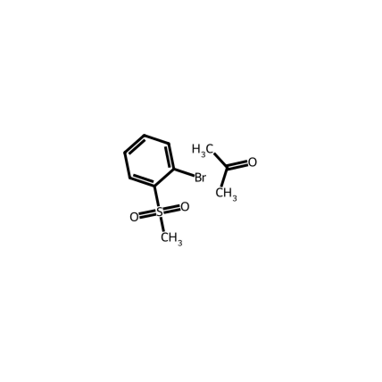 CC(C)=O.CS(=O)(=O)c1ccccc1Br